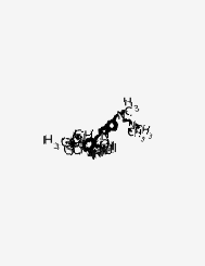 CCN(CC)CCN(CC)Cc1ccc2[nH]c(-c3cc(OC)c(OS(C)(=O)=O)c4c3C(=O)NC4)cc2c1.Cl.Cl